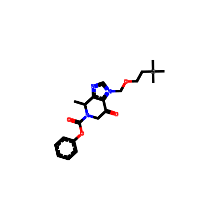 CC1c2ncn(COCC[Si](C)(C)C)c2C(=O)CN1C(=O)Oc1ccccc1